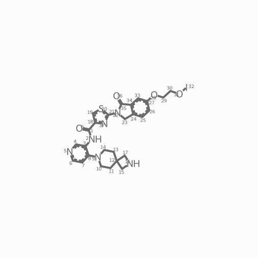 O=C(Nc1cnccc1N1CCC2(CC1)CNC2)c1csc(N2Cc3ccc(OCCOI)cc3C2=O)n1